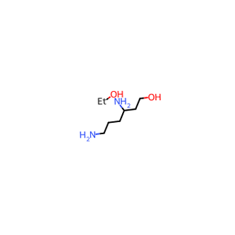 CCO.NCCCC(N)CCO